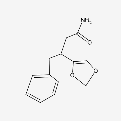 NC(=O)CC(Cc1ccccc1)C1=COCO1